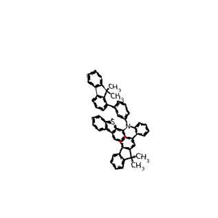 CC1(C)c2ccccc2-c2ccc(-c3ccccc3N(c3cccc(-c4cccc5c4C(C)(C)c4ccccc4-5)c3)c3cccc4c3sc3ccccc34)cc21